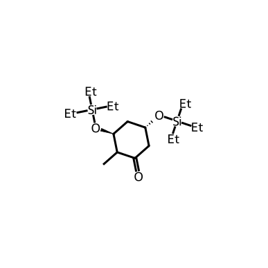 CC[Si](CC)(CC)O[C@@H]1CC(=O)C(C)[C@@H](O[Si](CC)(CC)CC)C1